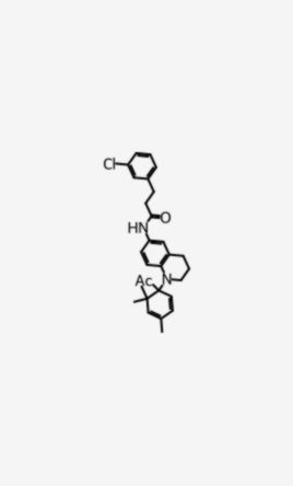 CC(=O)C1(N2CCCc3cc(NC(=O)CCc4cccc(Cl)c4)ccc32)C=CC(C)=CC1(C)C